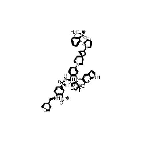 CP(C)(=O)c1ccccc1[C@@H]1CCCN1C1CC2(CCN(c3ccc(C(=O)NS(=O)(=O)c4ccc(NCC5CCOCC5)c([N+](=O)[O-])c4)c(N4c5cc6cc[nH]c6nc5O[C@@H]5COC[C@H]54)c3)CC2)C1